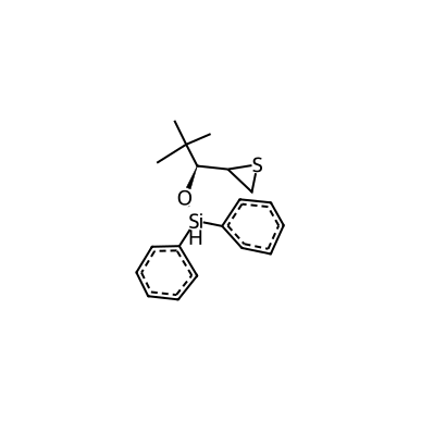 CC(C)(C)[C@H](O[SiH](c1ccccc1)c1ccccc1)C1CS1